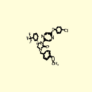 COc1ccc(CN2C[C@H](c3cccc(C(F)(F)F)c3)N(c3cnc(Oc4ccc(Cl)cc4)cn3)C2=O)cc1